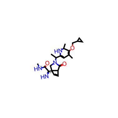 CNC(=O)C(=N)[C@]12C=CC1C(=O)N(C(C)C1=CC(C)=C(OCC3CC3)C(C)N1)C2